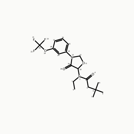 CCN(C(=O)CC(C)(C)C)C1OCN(c2cccc(OC(F)(F)F)c2)C1=O